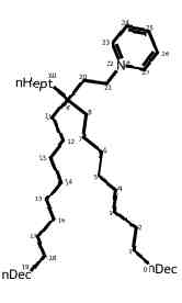 CCCCCCCCCCCCCCCCCCC(CCCCCCC)(CCCCCCCCCCCCCCCCCC)CC[n+]1ccccc1